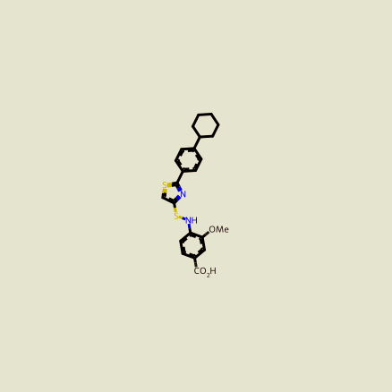 COc1cc(C(=O)O)ccc1NSc1csc(-c2ccc(C3CCCCC3)cc2)n1